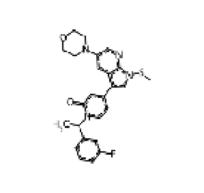 CC(c1cccc(F)c1)n1ccc(-c2cn(SI)c3ncc(N4CCOCC4)cc23)cc1=O